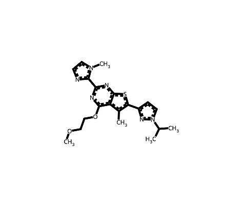 COCCOc1nc(-c2nccn2C)nc2sc(-c3ccn(C(C)C)n3)c(C)c12